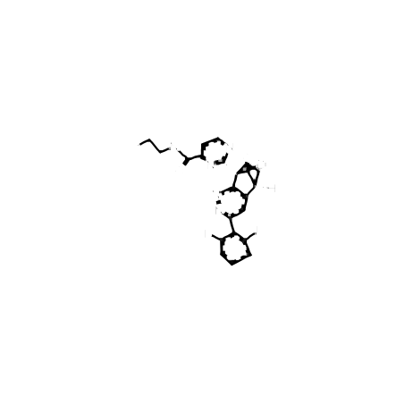 CC1(C)[C@H]2CC[C@]1(c1nccc(C(=O)NCCO)n1)c1nnc(-c3c(F)cccc3F)cc12